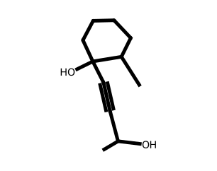 CC(O)C#CC1(O)CCCCC1C